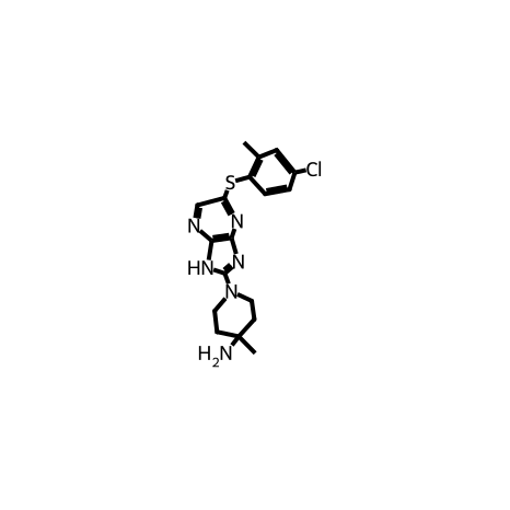 Cc1cc(Cl)ccc1Sc1cnc2[nH]c(N3CCC(C)(N)CC3)nc2n1